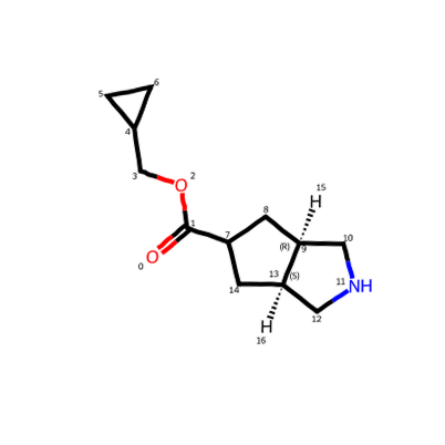 O=C(OCC1CC1)C1C[C@H]2CNC[C@H]2C1